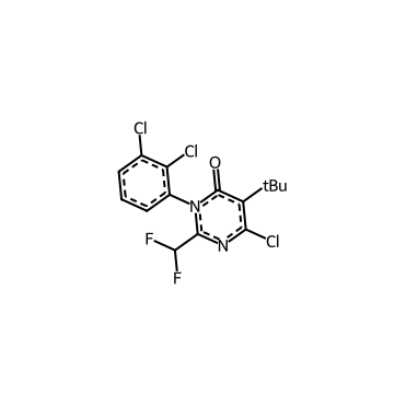 CC(C)(C)c1c(Cl)nc(C(F)F)n(-c2cccc(Cl)c2Cl)c1=O